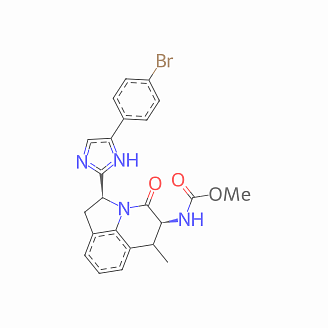 COC(=O)N[C@@H]1C(=O)N2c3c(cccc3C1C)C[C@H]2c1ncc(-c2ccc(Br)cc2)[nH]1